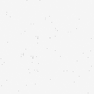 Cc1ccc2c(oc3c(-c4ccccc4)cccc32)c1N(c1ccccc1)c1cc2c3ccccc3oc2c2c1c1cccc3c4c(N(c5ccccc5)c5c(C)ccc6c5oc5c(-c7ccccc7)cccc56)cc5c6ccccc6oc5c4n2c13